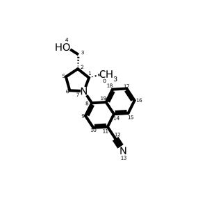 C[C@H]1[C@@H](CO)CCN1c1ccc(C#N)c2ccccc12